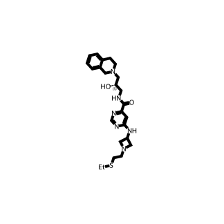 CCSCCN1CC(Nc2cc(C(=O)NC[C@H](O)CN3CCc4ccccc4C3)ncn2)C1